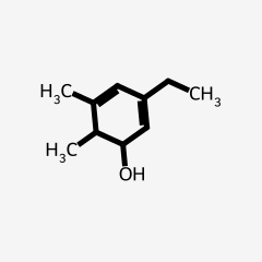 CCC1=CC(O)C(C)C(C)=C1